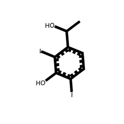 CC(O)c1ccc(I)c(O)c1I